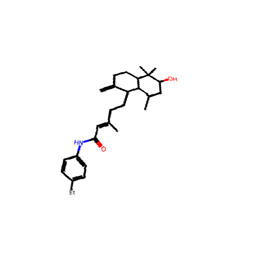 C=C1CCC2C(C(C)CC(O)C2(C)C)C1CC/C(C)=C/C(=O)Nc1ccc(CC)cc1